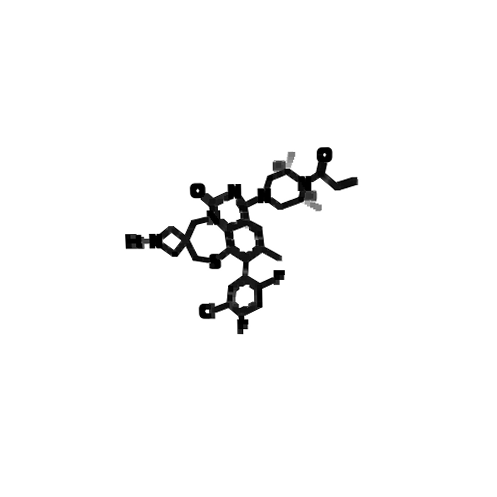 C=CC(=O)N1[C@H](C)CN(c2nc(=O)n3c4c(c(-c5cc(Cl)c(F)cc5F)c(C)cc24)SCC2(CN(CC)C2)C3)C[C@@H]1C